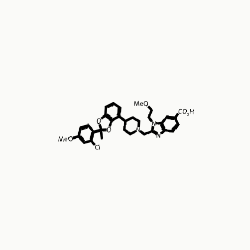 COCCn1c(CN2CCC(c3cccc4c3OC(C)(c3ccc(OC)cc3Cl)O4)CC2)nc2ccc(C(=O)O)cc21